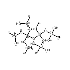 CO[Si](O[Si](O)(O)O)(O[Si](O)(O)O)O[Si](O[SiH2]C)(O[SiH](C)O)O[SiH](C)O